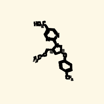 O=C(O)c1cnc(N2C[C@H](Oc3ccc(C(F)(F)F)cc3)C[C@H]2COC(F)(F)F)nc1